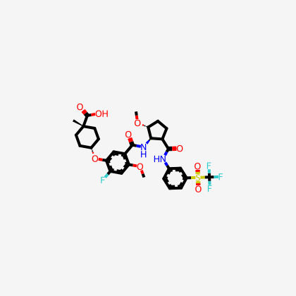 COc1cc(F)c(O[C@H]2CC[C@@](C)(C(=O)O)CC2)cc1C(=O)N[C@@H]1C(C(=O)Nc2cccc(S(=O)(=O)C(F)(F)F)c2)CC[C@H]1OC